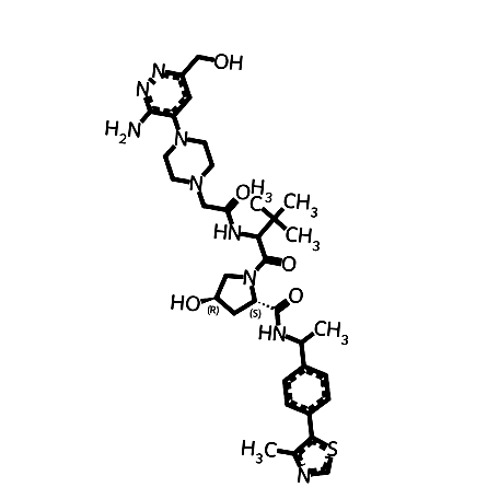 Cc1ncsc1-c1ccc(C(C)NC(=O)[C@@H]2C[C@@H](O)CN2C(=O)C(NC(=O)CN2CCN(c3cc(CO)nnc3N)CC2)C(C)(C)C)cc1